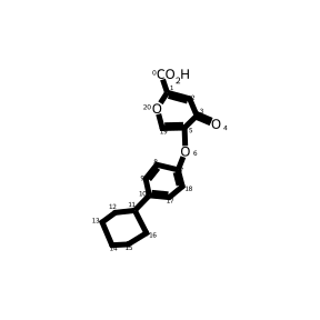 O=C(O)c1cc(=O)c(Oc2ccc(C3CCCCC3)cc2)co1